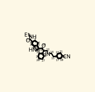 CCNC(=O)c1ccc2c(C(=O)C(CNCCc3ccc(C#N)cc3)c3ccccc3)c[nH]c2c1